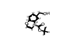 CC(C)(C)OC(=O)N1C=COc2ccc(CO)cc21